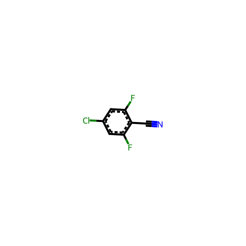 N#Cc1c(F)cc(Cl)cc1F